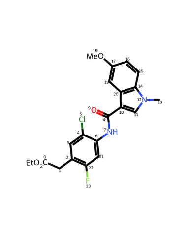 CCOC(=O)Cc1cc(Cl)c(NC(=O)c2cn(C)c3ccc(OC)cc23)cc1F